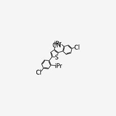 CC(C)c1cc(Cl)ccc1-c1cc(C#N)c(-c2ccc(Cl)cc2C(C)C)s1